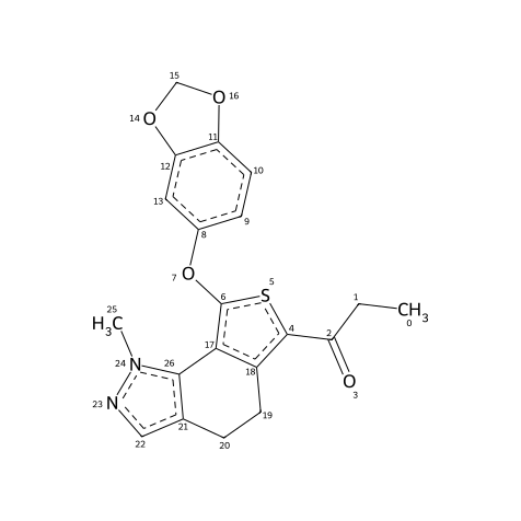 CCC(=O)c1sc(Oc2ccc3c(c2)OCO3)c2c1CCc1cnn(C)c1-2